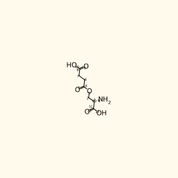 N[C@@H](COC(=O)CCC(=O)O)C(=O)O